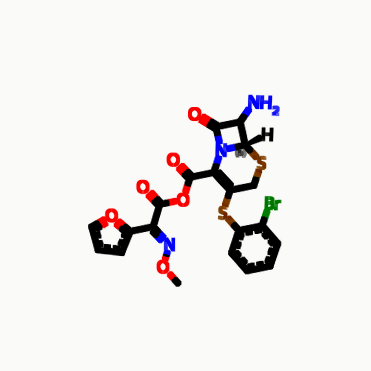 CON=C(C(=O)OC(=O)C1=C(Sc2ccccc2Br)CS[C@H]2C(N)C(=O)N12)c1ccco1